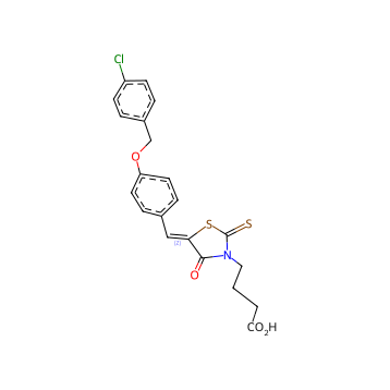 O=C(O)CCCN1C(=O)/C(=C/c2ccc(OCc3ccc(Cl)cc3)cc2)SC1=S